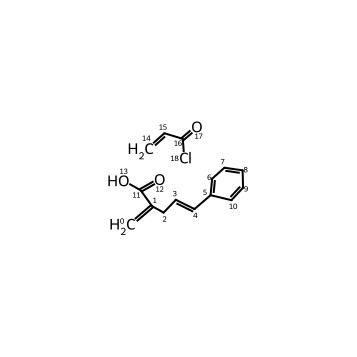 C=C(CC=Cc1ccccc1)C(=O)O.C=CC(=O)Cl